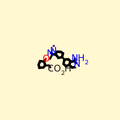 Cn1nc(COc2ccccc2CC(=O)O)c2cc(-c3ccc4ccnc(N)c4c3)ccc21